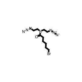 [N-]=[N+]=NCCN(CCN=[N+]=[N-])C(=O)CCCCCBr